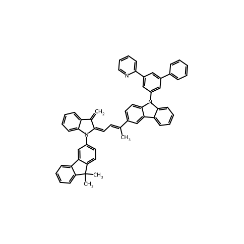 C=c1/c(=C\C=C(/C)c2ccc3c(c2)c2ccccc2n3-c2cc(-c3ccccc3)cc(-c3ccccn3)c2)n(-c2ccc3c(c2)-c2ccccc2C3(C)C)c2ccccc12